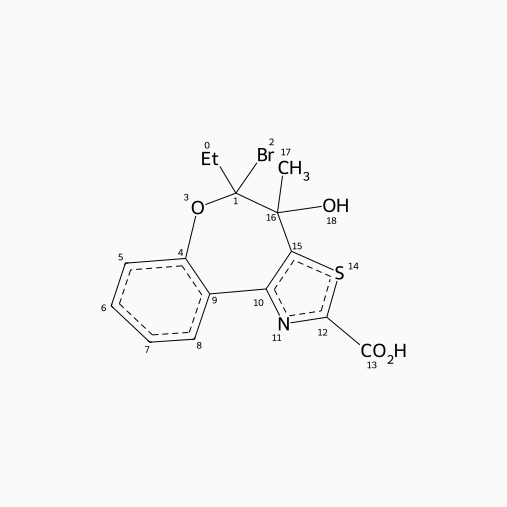 CCC1(Br)Oc2ccccc2-c2nc(C(=O)O)sc2C1(C)O